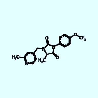 Cc1cc(CN2C(=O)N(c3ccc(OC(F)(F)F)cc3)C(=O)C2C)ccn1